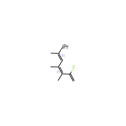 C=C(F)/C(C)=C(C)\C=C(/C)C(C)C